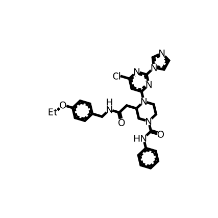 CCOc1ccc(CNC(=O)CC2CN(C(=O)Nc3ccccc3)CCN2c2cc(Cl)nc(-n3ccnc3)n2)cc1